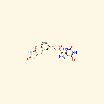 NC(C(=O)COc1cccc(CC2SC(=O)NC2=O)c1)c1cc(=O)[nH]c(=O)[nH]1